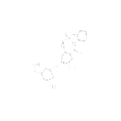 Cc1cc(CO)cc(COc2cc3c(cc2C)C(=O)N2c4ccccc4C[C@H]2C=N3)c1